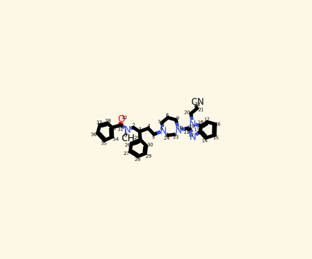 CN(CC(CCN1CCCN(c2nc3ccccc3n2CCC#N)CC1)c1ccccc1)C(=O)c1ccccc1